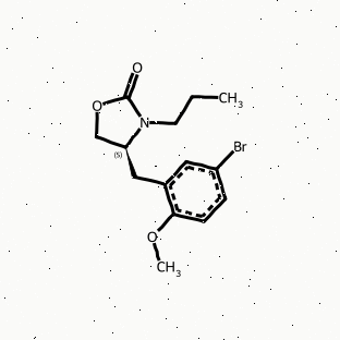 CCCN1C(=O)OC[C@@H]1Cc1cc(Br)ccc1OC